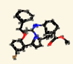 COC(=O)c1cccc(NC(C)n2c(C)ccc2-c2cc(Br)ccc2OCc2ccccc2)c1